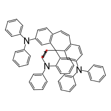 C1=Cc2ccc(N(c3ccccc3)c3ccccc3)cc2C2(c3cc(N(c4ccccc4)c4ccccc4)ccc31)c1ccccc1N(c1ccccc1)c1ccccc12